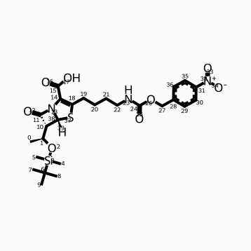 C[C@H](O[Si](C)(C)C(C)(C)C)[C@@H]1C(=O)N2C(C(=O)O)=C(CCCCNC(=O)OCc3ccc([N+](=O)[O-])cc3)S[C@H]12